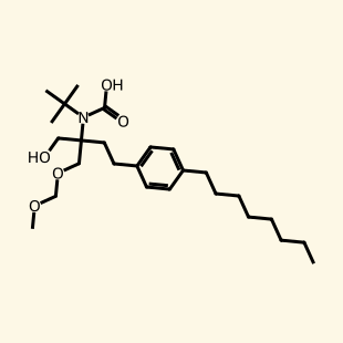 CCCCCCCCc1ccc(CCC(CO)(COCOC)N(C(=O)O)C(C)(C)C)cc1